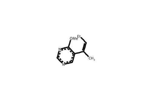 CC/C=C(/C)c1cncnc1OC